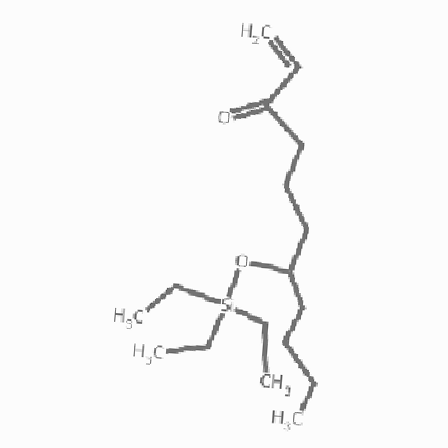 C=CC(=O)CCCC(CCCC)O[Si](CC)(CC)CC